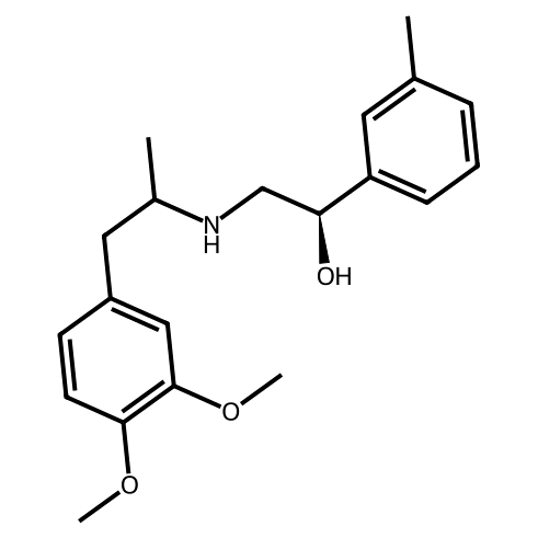 COc1ccc(CC(C)NC[C@H](O)c2cccc(C)c2)cc1OC